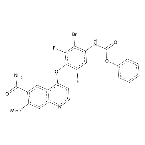 COc1cc2nccc(Oc3c(F)cc(NC(=O)Oc4ccccc4)c(Br)c3F)c2cc1C(N)=O